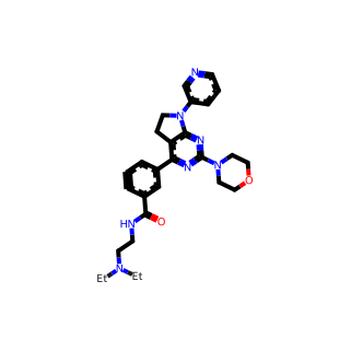 CCN(CC)CCNC(=O)c1c#ccc(-c2nc(N3CCOCC3)nc3c2CCN3c2cccnc2)c1